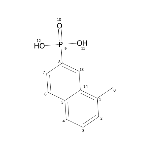 Cc1cccc2ccc(P(=O)(O)O)cc12